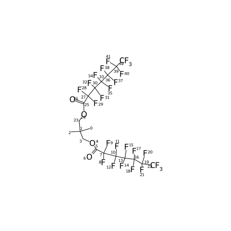 CC(C)(COC(=O)C(F)(F)C(F)(F)C(F)(F)C(F)(F)C(F)(F)C(F)(F)F)COC(=O)C(F)(F)C(F)(F)C(F)(F)C(F)(F)C(F)(F)C(F)(F)F